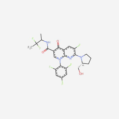 CC(NC(=O)c1cn(-c2c(F)cc(F)cc2F)c2nc(N3CCC[C@@H]3CO)c(F)cc2c1=O)C(F)(F)C(F)(F)F